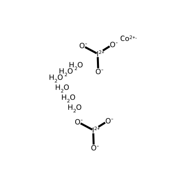 O.O.O.O.O.O.[Co+2].[O-][I+2]([O-])[O-].[O-][I+2]([O-])[O-]